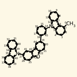 Cc1cccc2c1c1ccccc1n2-c1cccc(-c2ccc3oc4ccc(-n5c6ccccc6c6ccccc65)cc4c3c2)c1